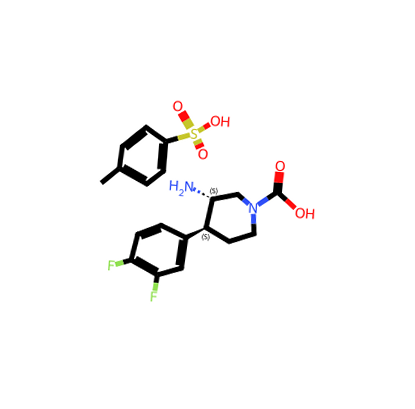 Cc1ccc(S(=O)(=O)O)cc1.N[C@@H]1CN(C(=O)O)CC[C@H]1c1ccc(F)c(F)c1